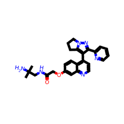 CC(C)(N)CNC(=O)COc1ccc2c(-c3c(-c4ccccn4)nn4c3CCC4)ccnc2c1